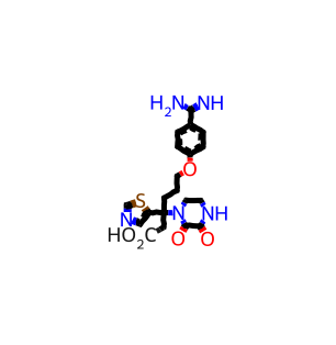 N=C(N)c1ccc(OCCCC(CC(=O)O)(c2cncs2)N2CCNC(=O)C2=O)cc1